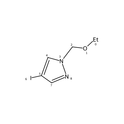 CCOCn1cc(I)cn1